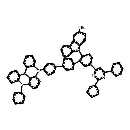 CC(C)(C)c1ccc2c(c1)c1ccccc1n2-c1ccc(-c2cc(-c3ccccc3)nc(-c3ccccc3)n2)cc1-c1ccc(-c2ccc(N3c4ccccc4B4c5ccccc5N(c5ccccc5)c5cccc3c54)cc2)cc1